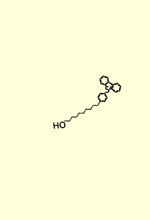 OCCCCCCCCCCc1ccc(-[s+]2c3ccccc3c3ccccc32)cc1